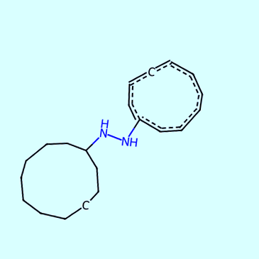 c1ccccc(NNC2CCCCCCCCCC2)cccc1